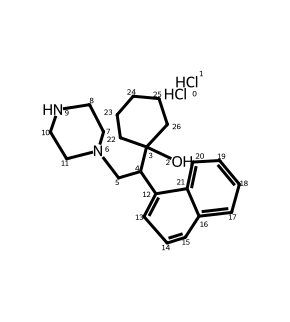 Cl.Cl.OC1(C(CN2CCNCC2)c2cccc3ccccc23)CCCCC1